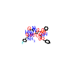 COC1NC(NC(=O)C(N)Cc2ccc(F)cc2)=Nc2c1ncn2[C@H]1O[C@@H](COP(=O)(NC(C)C(=O)OCc2ccccc2)Oc2ccccc2)[C@H](O)[C@H]1O